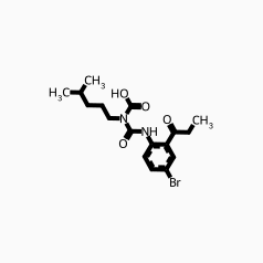 CCC(=O)c1cc(Br)ccc1NC(=O)N(CCCC(C)C)C(=O)O